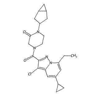 CCc1cc(C2CC2)cc2c(Cl)c(C(=O)N3CCN(C4CC5CC5C4)C(=O)C3)nn12